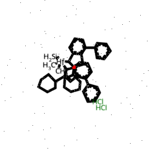 Cl.Cl.[CH3][Hf]([CH3])(=[SiH2])([CH]1C(C2CCCCC2)=Cc2c(-c3ccccc3)cccc21)[CH]1C(C2CCCCC2)=Cc2c(-c3ccccc3)cccc21